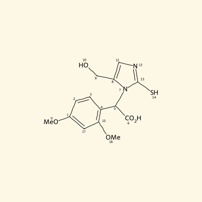 COc1ccc(C(C(=O)O)n2c(CO)cnc2S)c(OC)c1